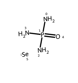 NP(N)(N)=O.[Se]